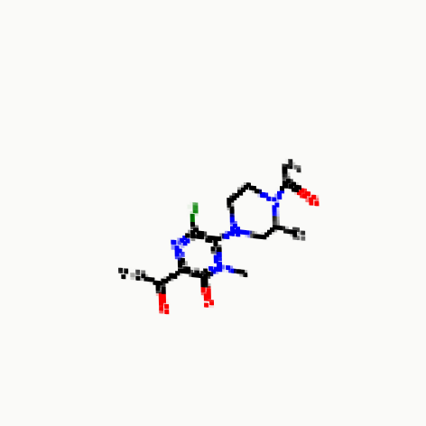 CC[C@H]1CN(c2c(Cl)nc(C(=O)OC)c(=O)n2C)CCN1C(=O)C(F)(F)F